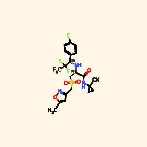 Cc1cc(CS(=O)(=O)C[C@H](N[C@@H](c2ccc(F)cc2)C(F)(F)C(F)(F)F)C(=O)NC2(C#N)CC2)no1